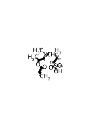 C=CC(=O)OC(C)CN(C)C.CCCS(=O)(=O)O